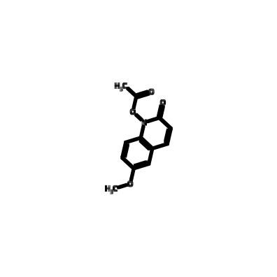 COc1ccc2c(ccc(=O)n2OC(C)=O)c1